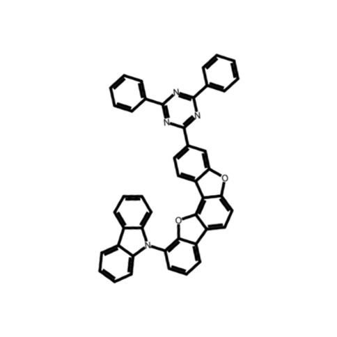 c1ccc(-c2nc(-c3ccccc3)nc(-c3ccc4c(c3)oc3ccc5c6cccc(-n7c8ccccc8c8ccccc87)c6oc5c34)n2)cc1